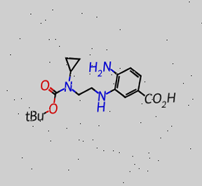 CC(C)(C)OC(=O)N(CCNc1cc(C(=O)O)ccc1N)C1CC1